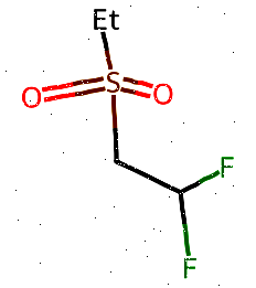 [CH2]CS(=O)(=O)CC(F)F